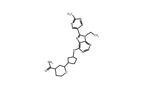 CCn1c(-c2cnc(C)nc2)nc2c(OC3CCC(C4CC(C(N)=O)CCO4)C3)ncnc21